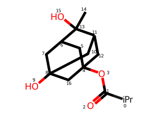 CC(C)C(=O)OC12CC3CC(O)(CC(C1)C3(C)O)C2